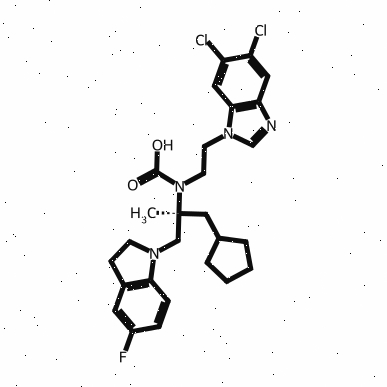 C[C@](CC1CCCC1)(CN1CCc2cc(F)ccc21)N(CCn1cnc2cc(Cl)c(Cl)cc21)C(=O)O